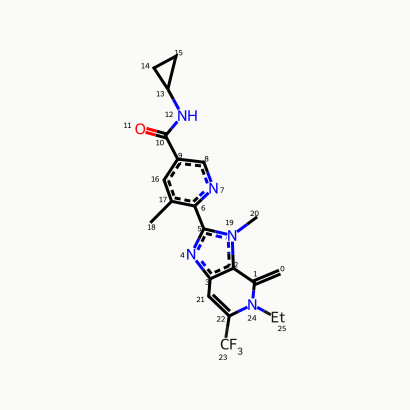 C=C1c2c(nc(-c3ncc(C(=O)NC4CC4)cc3C)n2C)C=C(C(F)(F)F)N1CC